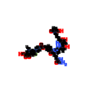 C=CN(/N=N\C[C@@H](N[C@H](O)[C@@H](N[C@@H](O)CCCCCN1C(=O)CC[C@H]1O)C(C)C)C(C)C)[C@@H](CCCNC(N)=O)C(=O)Nc1ccc(COC(=O)N2CCN(c3cc4c(cc3F)c(=O)c(C(=O)O)cn4CC)CC2)cc1